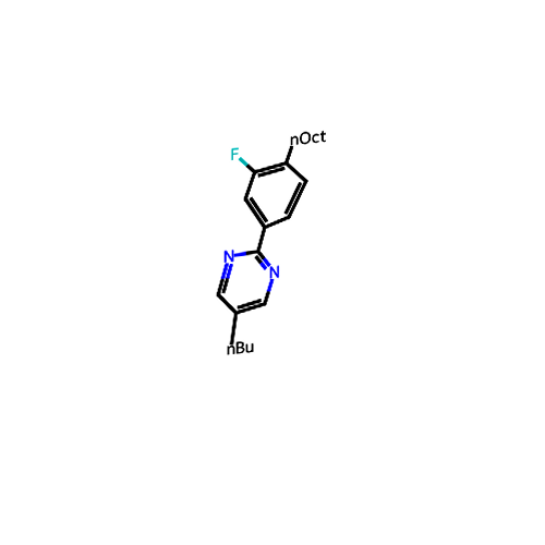 CCCCCCCCc1ccc(-c2ncc(CCCC)cn2)cc1F